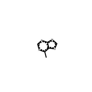 Cc1ncnc2ncoc12